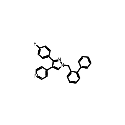 Fc1ccc(-c2nn(Cc3ccccc3-c3ccccc3)cc2-c2ccncc2)cc1